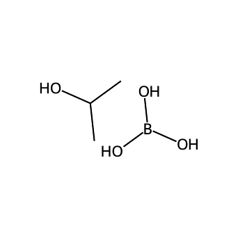 CC(C)O.OB(O)O